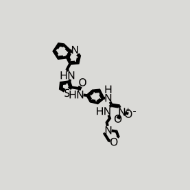 O=C(Nc1ccc(N/C(=C/[N+](=O)[O-])NCCN2CCOCC2)cc1)c1sccc1NCc1ccnc2ccccc12